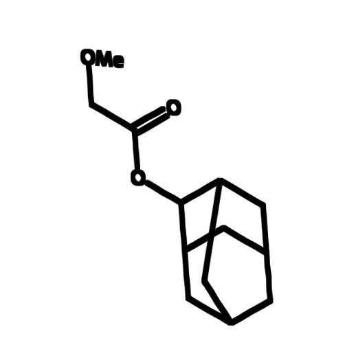 COCC(=O)OC1C2CC3CC(C2)CC1C3